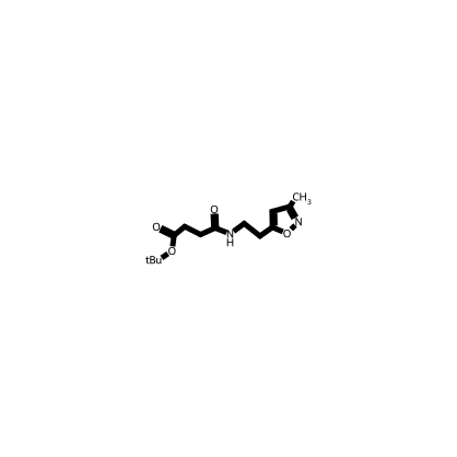 Cc1cc(CCNC(=O)CCC(=O)OC(C)(C)C)on1